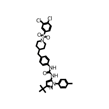 Cc1ccc(-n2nc(C(C)(C)C)cc2NC(=O)Nc2ccc(CC3CCN(S(=O)(=O)c4ccc(Cl)c(Cl)c4)CC3)cc2)cc1